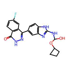 O=c1[nH]nc(-c2ccc3[nH]c(NC(O)OC4CCC4)nc3c2)c2cc(F)ccc12